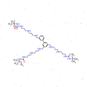 CC(C)(C)NC(=O)NCCCNCCCNCc1cc(CNCCCNCCCNC(=O)NC(C)(C)C)cc(-c2cccc(CNCCCNCCCNC(O)NC(C)(C)C)c2)c1